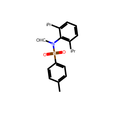 Cc1ccc(S(=O)(=O)N(C=O)c2c(C(C)C)cccc2C(C)C)cc1